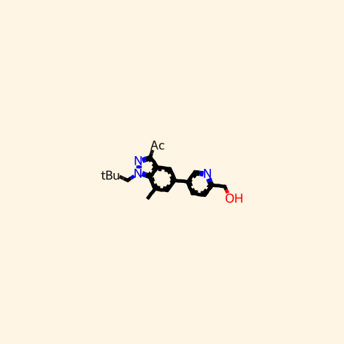 CC(=O)c1nn(CC(C)(C)C)c2c(C)cc(-c3ccc(CO)nc3)cc12